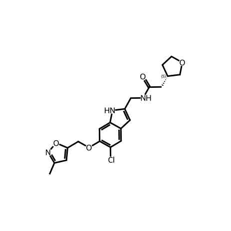 Cc1cc(COc2cc3[nH]c(CNC(=O)C[C@@H]4CCOC4)cc3cc2Cl)on1